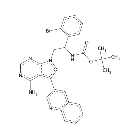 CC(C)(C)OC(=O)NC(Cn1cc(-c2cnc3ccccc3c2)c2c(N)ncnc21)c1ccccc1Br